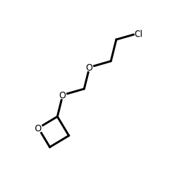 ClCCOCOC1CCO1